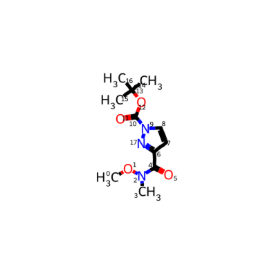 CON(C)C(=O)c1ccn(C(=O)OC(C)(C)C)n1